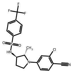 C[C@H]1[C@H](NS(=O)(=O)c2ccc(C(F)(F)F)cc2)CCN1c1ccc(C#N)c(Cl)c1